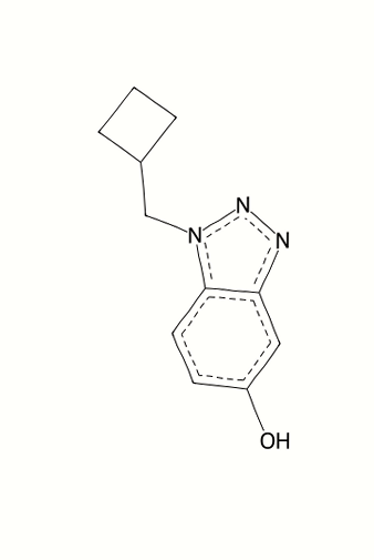 Oc1ccc2c(c1)nnn2CC1CCC1